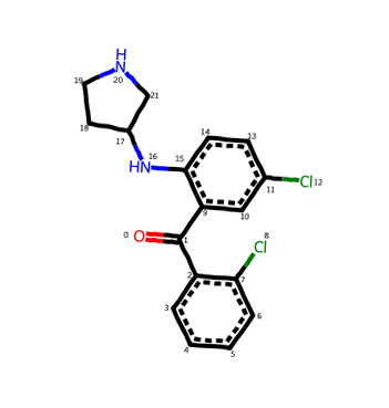 O=C(c1ccccc1Cl)c1cc(Cl)ccc1NC1CCNC1